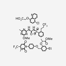 CCc1ccc(COc2ccc(-n3c(=O)cc(C(F)(F)F)n(C)c3=O)cc2)c(OC(C)C(=O)OC)c1.COc1nc(C)nc(NC(=O)NS(=O)(=O)c2ccccc2CCC(F)(F)F)n1.O=C(O)COc1ccc(Cl)c2cccnc12